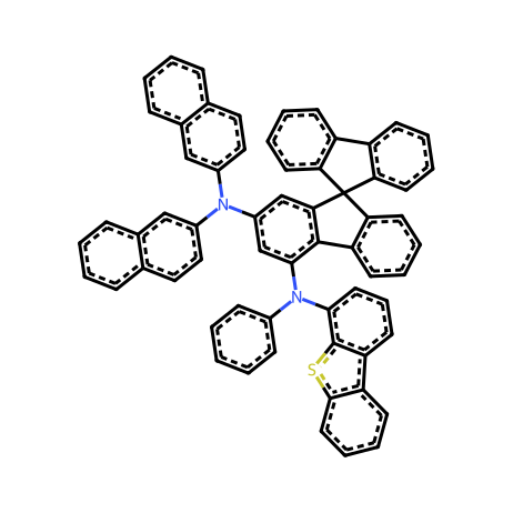 c1ccc(N(c2cc(N(c3ccc4ccccc4c3)c3ccc4ccccc4c3)cc3c2-c2ccccc2C32c3ccccc3-c3ccccc32)c2cccc3c2sc2ccccc23)cc1